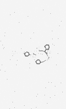 COc1ccc(N(C)C(=O)C2Cc3cccc(c3)CCS(=O)(=O)Cc3[nH]c4ccccc4c3CC(=O)N2)cc1